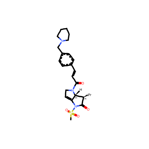 CC(C)[C@H]1C(=O)N(S(C)(=O)=O)C2=CCN(C(=O)C=Cc3ccc(CN4CCCCC4)cc3)[C@@H]21